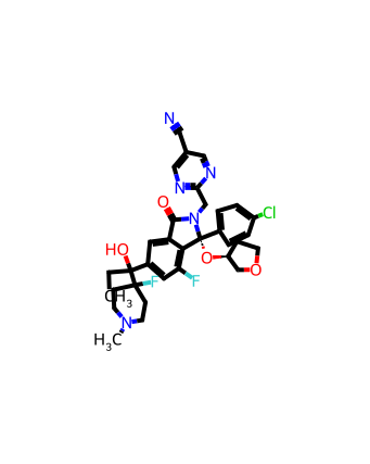 CCC(O)(c1cc(F)c2c(c1)C(=O)N(Cc1ncc(C#N)cn1)[C@@]2(O[C@H]1CCOC1)c1ccc(Cl)cc1)C1(F)CCN(C)CC1